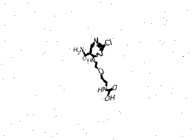 NC(=O)c1cnc(Cl)nc1NCCOCCNC(=O)O